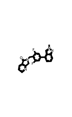 Cn1cc2c(-c3cc(F)c(CN4Cc5ncccc5C4=O)c(F)c3)cccc2n1